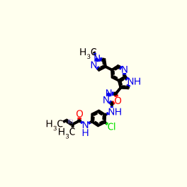 C/C=C(\C)C(=O)Nc1ccc(Nc2nnc(-c3c[nH]c4ncc(-c5cnn(C)c5)cc34)o2)c(Cl)c1